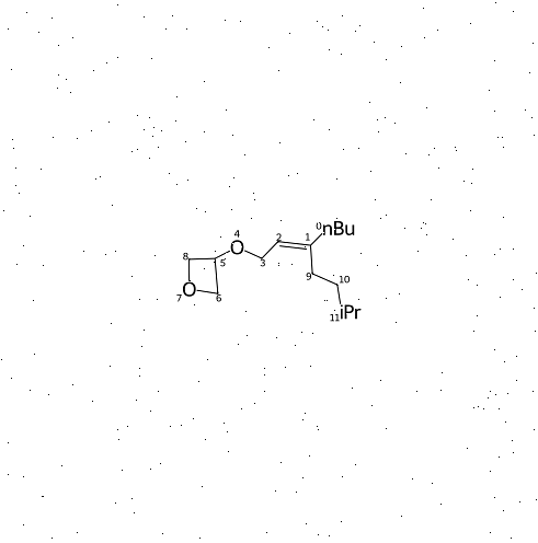 CCCCC(=CCOC1COC1)CCC(C)C